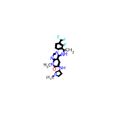 C[C@@H](Nc1ncnc2c1cc(NC1CCN(C)C1)c(=O)n2C)c1cccc(C(F)F)c1F